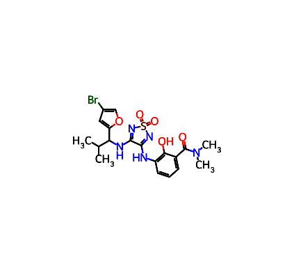 CC(C)C(NC1=NS(=O)(=O)N=C1Nc1cccc(C(=O)N(C)C)c1O)c1cc(Br)co1